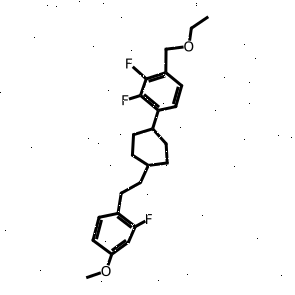 CCOCc1ccc(C2CCC(CCc3ccc(OC)cc3F)CC2)c(F)c1F